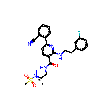 C[C@@H](CNC(=O)c1ccc(-c2ccccc2C#N)nc1NCCc1cccc(F)c1)NS(C)(=O)=O